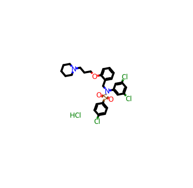 Cl.O=S(=O)(c1ccc(Cl)cc1)N(Cc1ccccc1OCCCN1CCCCC1)c1cc(Cl)cc(Cl)c1